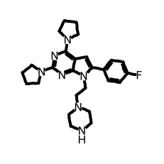 Fc1ccc(-c2cc3c(N4CCCC4)nc(N4CCCC4)nc3n2CCN2CCNCC2)cc1